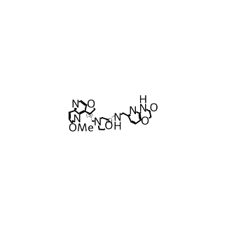 COc1ccc2ncc3c(c2n1)[C@@H](CN1CCO[C@@H](CNCc2ccc4c(n2)NC(=O)CO4)C1)CO3